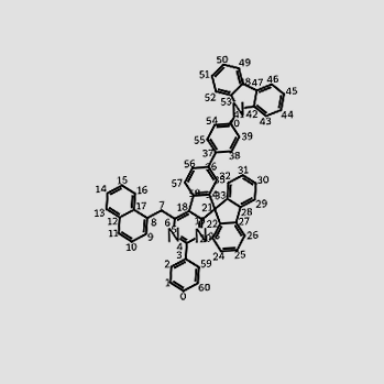 c1ccc(-c2nc(Cc3cccc4ccccc34)c3c(n2)C2(c4ccccc4-c4ccccc42)c2cc(-c4ccc(-n5c6ccccc6c6ccccc65)cc4)ccc2-3)cc1